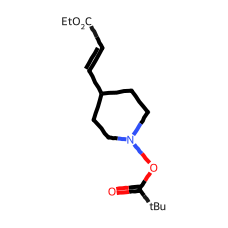 CCOC(=O)C=CC1CCN(OC(=O)C(C)(C)C)CC1